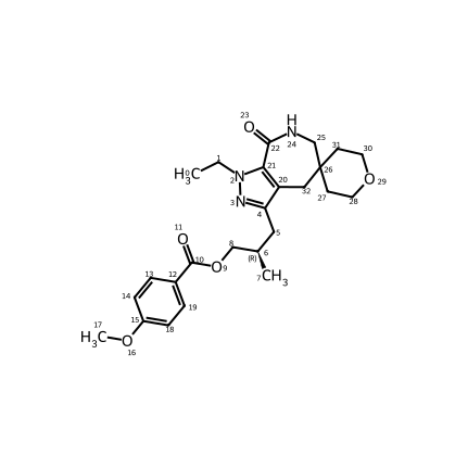 CCn1nc(C[C@@H](C)COC(=O)c2ccc(OC)cc2)c2c1C(=O)NCC1(CCOCC1)C2